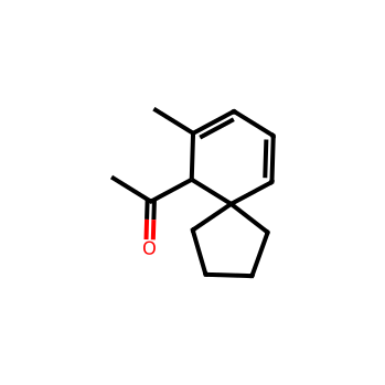 CC(=O)C1C(C)=CC=CC12CCCC2